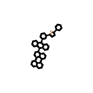 c1ccc(-c2ccc(-c3cccc(-c4c5ccccc5c(-c5ccc6c7cccc8cccc(c9cccc5c96)c87)c5ccccc45)c3)s2)cc1